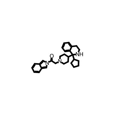 O=C(CN1CCC(C2(C3CCCC3)NCCc3ccccc32)CC1)n1cc2ccccc2c1